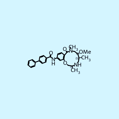 CO[C@@H]1CN(C)C(=O)c2ccc(NC(=O)c3ccc(-c4ccccc4)cc3)cc2OC[C@H](C)NC[C@@H]1C